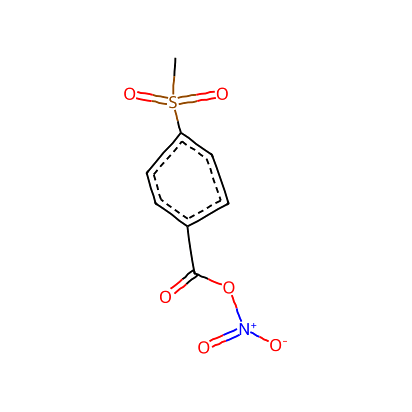 CS(=O)(=O)c1ccc(C(=O)O[N+](=O)[O-])cc1